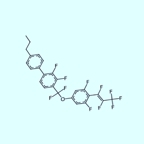 CCCc1ccc(-c2ccc(C(F)(F)Oc3cc(F)c(/C(F)=C(\F)C(F)(F)F)c(F)c3)c(F)c2F)cc1